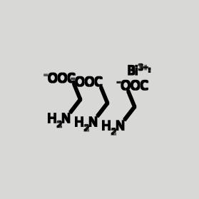 NCC(=O)[O-].NCC(=O)[O-].NCC(=O)[O-].[Bi+3]